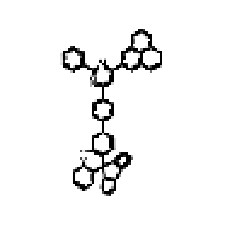 C1=CCC2OC3=C(C=CC(c4ccc(-c5cc(-c6cc7c8c(cccc8c6)CC=C7)nc(-c6ccccc6)n5)cc4)C3)C3(C2=C1)C1=C(C=CCC1)c1ccccc13